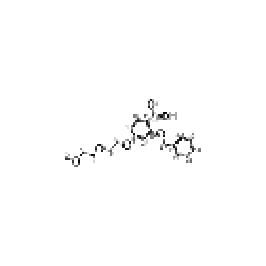 COCCOCCOc1ccc(C(=O)O)c(OCc2ccccc2)c1